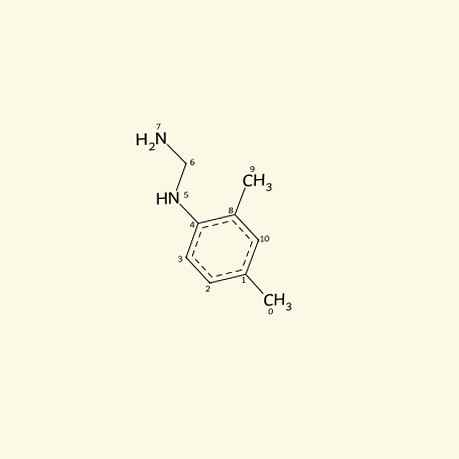 Cc1ccc(NCN)c(C)c1